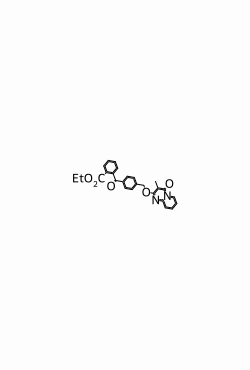 CCOC(=O)c1ccccc1C(=O)c1ccc(COc2nc3ccccn3c(=O)c2C)cc1